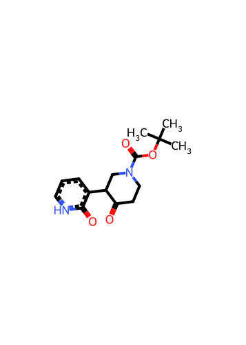 CC(C)(C)OC(=O)N1CCC(=O)C(c2ccc[nH]c2=O)C1